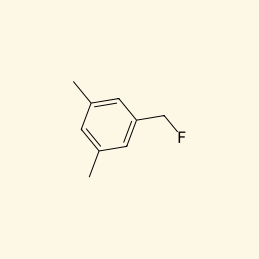 Cc1cc(C)cc(CF)c1